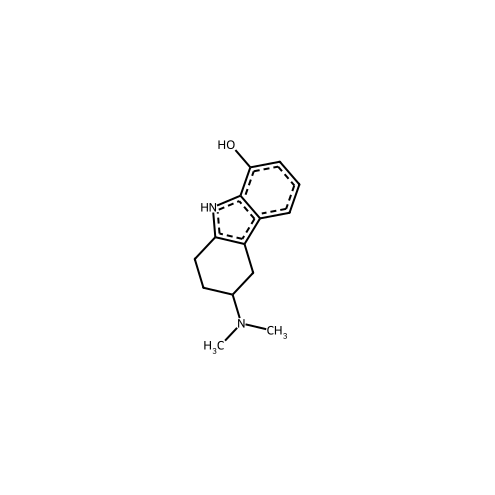 CN(C)C1CCc2[nH]c3c(O)cccc3c2C1